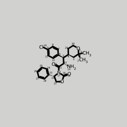 CC1(C)C[C@@H]([C@H](c2ccc(Cl)cc2)[C@H](N)C(=O)N2C(=O)OC[C@@H]2c2ccccc2)CCO1